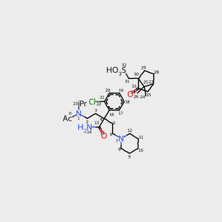 CC(=O)N(CCC(CCN1CCCCC1)(C(N)=O)c1ccccc1Cl)C(C)C.CC1(C)C2CCC1(CS(=O)(=O)O)C(=O)C2